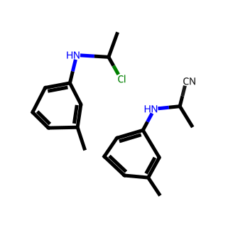 Cc1cccc(NC(C)C#N)c1.Cc1cccc(NC(C)Cl)c1